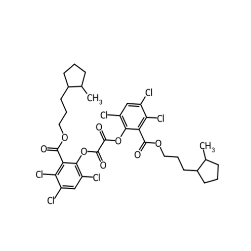 CC1CCCC1CCCOC(=O)c1c(Cl)c(Cl)cc(Cl)c1OC(=O)C(=O)Oc1c(Cl)cc(Cl)c(Cl)c1C(=O)OCCCC1CCCC1C